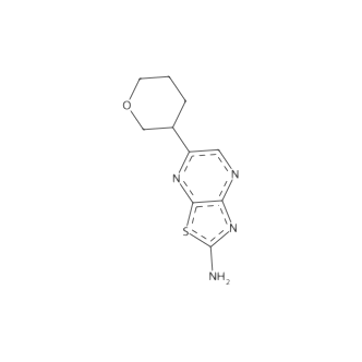 Nc1nc2ncc(C3CCCOC3)nc2s1